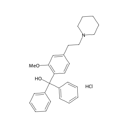 COc1cc(CCN2CCCCC2)ccc1C(O)(c1ccccc1)c1ccccc1.Cl